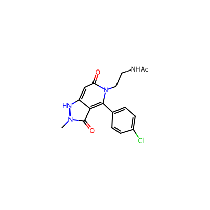 CC(=O)NCCn1c(-c2ccc(Cl)cc2)c2c(=O)n(C)[nH]c2cc1=O